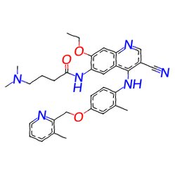 CCOc1cc2ncc(C#N)c(Nc3ccc(OCc4ncccc4C)cc3C)c2cc1NC(=O)CCCN(C)C